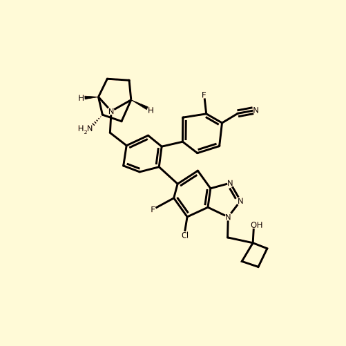 N#Cc1ccc(-c2cc(CN3[C@@H]4CC[C@H]3[C@@H](N)C4)ccc2-c2cc3nnn(CC4(O)CCC4)c3c(Cl)c2F)cc1F